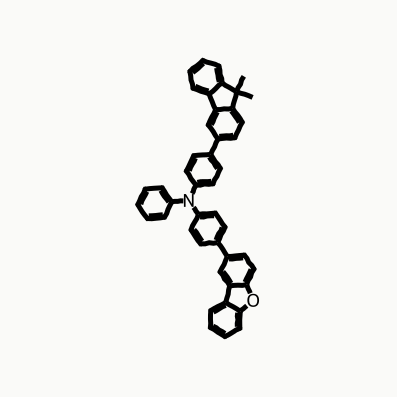 CC1(C)c2ccccc2-c2cc(-c3ccc(N(c4ccccc4)c4ccc(-c5ccc6oc7ccccc7c6c5)cc4)cc3)ccc21